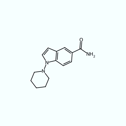 NC(=O)c1ccc2c(ccn2N2CCCCC2)c1